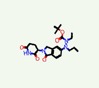 CCCN(c1ccc2c(c1)CN(C1CCC(=O)NC1=O)C2=O)N(CC)C(=O)OC(C)(C)C